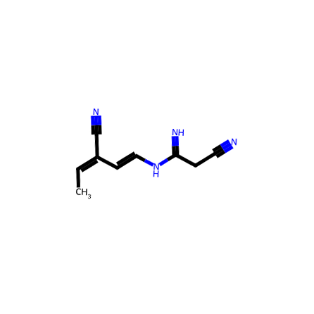 C/C=C(/C#N)C=CNC(=N)CC#N